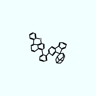 c1ccc2c(c1)Oc1ccc(-c3ccccc3-c3ccc4c(c3)C3(c5ccccc5-4)C4CC5CC(C4)CC3C5)c3cccc-2c13